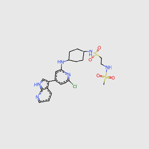 CS(=O)(=O)NCCS(=O)(=O)NC1CCC(Nc2cc(-c3c[nH]c4ncccc34)cc(Cl)n2)CC1